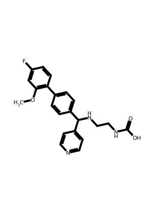 COc1cc(F)ccc1-c1ccc(C(NCCNC(=O)O)c2ccncc2)cc1